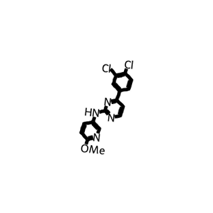 COc1ccc(Nc2nccc(-c3ccc(Cl)c(Cl)c3)n2)cn1